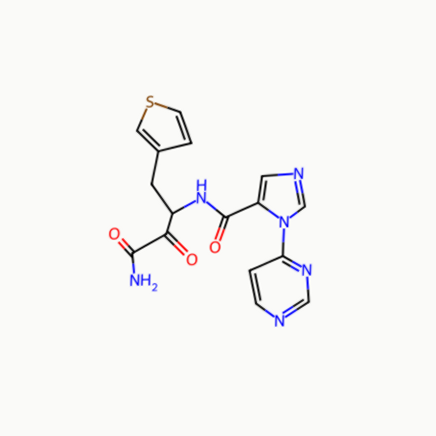 NC(=O)C(=O)C(Cc1ccsc1)NC(=O)c1cncn1-c1ccncn1